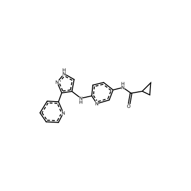 O=C(Nc1ccc(Nc2c[nH]nc2-c2ccccn2)nc1)C1CC1